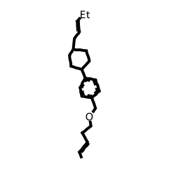 CC=CCCOCc1ccc(C2CCC(CC=CCC)CC2)cc1